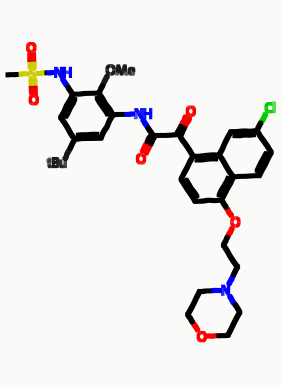 COc1c(NC(=O)C(=O)c2ccc(OCCN3CCOCC3)c3ccc(Cl)cc23)cc(C(C)(C)C)cc1NS(C)(=O)=O